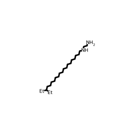 CCC(CC)CCCCCCCCCCCCCCCCCNCCN